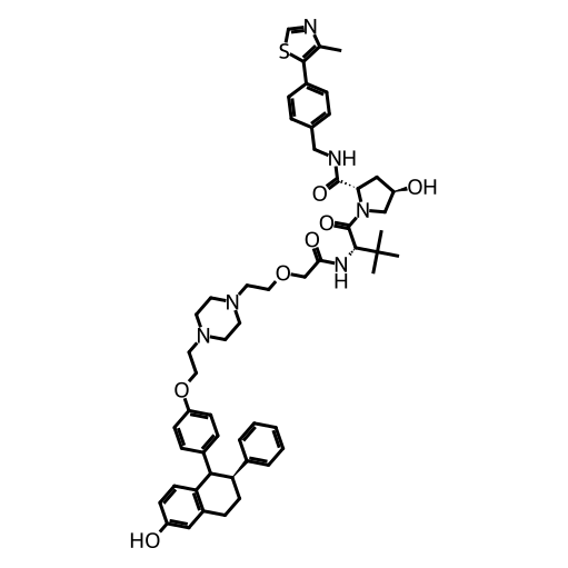 Cc1ncsc1-c1ccc(CNC(=O)[C@@H]2C[C@@H](O)CN2C(=O)[C@@H](NC(=O)COCCN2CCN(CCOc3ccc(C4c5ccc(O)cc5CC[C@@H]4c4ccccc4)cc3)CC2)C(C)(C)C)cc1